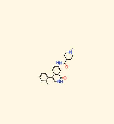 Cc1ccccc1-c1c[nH]c(=O)c2cc(NC(=O)C3CCN(C)CC3)ccc12